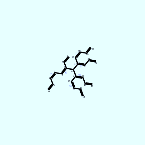 C=C/C=C\C=C(/C=C)C(C(/C=C\C=C)=C/C=C)C(/C=C\C=C)=C/C=C